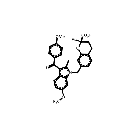 CCC1(C(=O)O)CCc2ccc(Cn3c(C)c(C(=O)c4ccc(OC)cc4)c4ccc(OC(F)(F)F)cc43)cc2O1